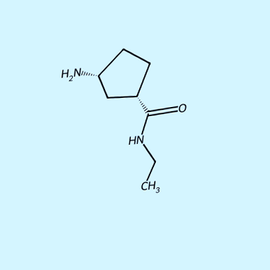 CCNC(=O)[C@H]1CC[C@@H](N)C1